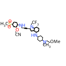 COCCN(C)C1CCC(Nc2cccc3c2cc(C#CCNc2ccc(S(C)(=O)=O)cc2OCC#N)n3CC(F)(F)F)CC1